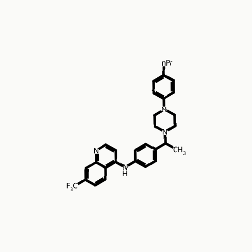 CCCc1ccc(N2CCN(C(C)c3ccc(Nc4ccnc5cc(C(F)(F)F)ccc45)cc3)CC2)cc1